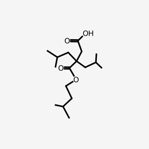 CC(C)CCOC(=O)C(CC(=O)O)(CC(C)C)CC(C)C